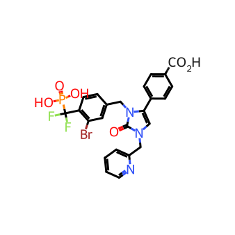 O=C(O)c1ccc(-c2cn(Cc3ccccn3)c(=O)n2Cc2ccc(C(F)(F)P(=O)(O)O)c(Br)c2)cc1